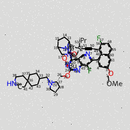 COCOc1cc(-c2ncc3c(N4CC5CCC(C4)N5C(=O)OC(C)(C)C)nc(OC[C@@H]4CCCN4CC4CCC5(CCNCC5)CC4)nc3c2F)c2c(C#C[Si](C(C)C)(C(C)C)C(C)C)c(F)ccc2c1